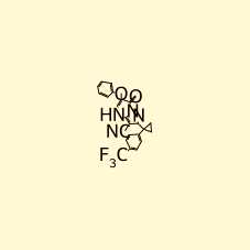 N#Cc1c(C2(c3ccc(C(F)(F)F)cc3)CC2)nn2c(=O)c(Oc3ccccc3)c[nH]c12